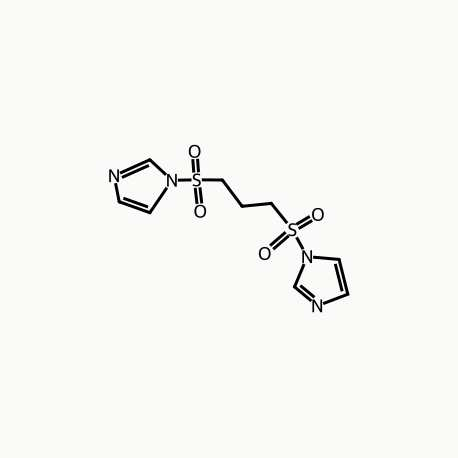 O=S(=O)(CCCS(=O)(=O)n1ccnc1)n1ccnc1